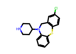 Clc1ccc2c(c1)CN(C1CCNCC1)c1ccccc1S2